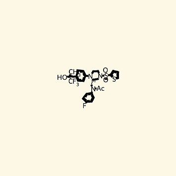 CC(=O)N(C[C@H]1CN(S(=O)(=O)c2cccs2)CCN1c1ccc([C@](C)(O)C(F)(F)F)cc1)c1ccc(F)cc1